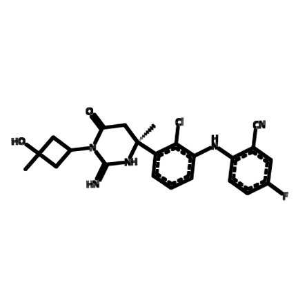 CC1(O)CC(N2C(=N)N[C@](C)(c3cccc(Nc4ccc(F)cc4C#N)c3Cl)CC2=O)C1